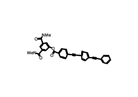 CNC(=O)c1cc(OC(=O)c2ccc(C#Cc3ccc(C#Cc4ccccc4)cc3)cc2)cc(C(=O)NC)c1